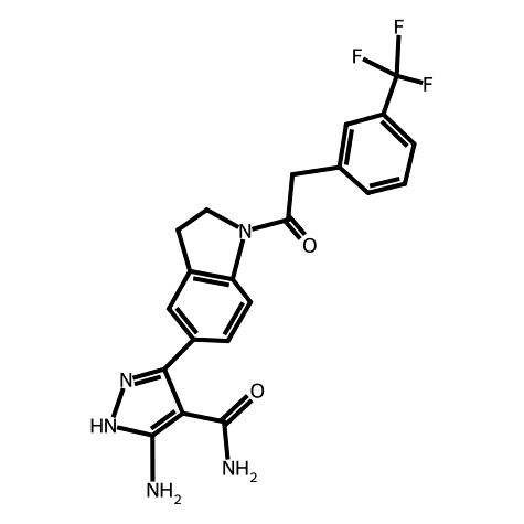 NC(=O)c1c(-c2ccc3c(c2)CCN3C(=O)Cc2cccc(C(F)(F)F)c2)n[nH]c1N